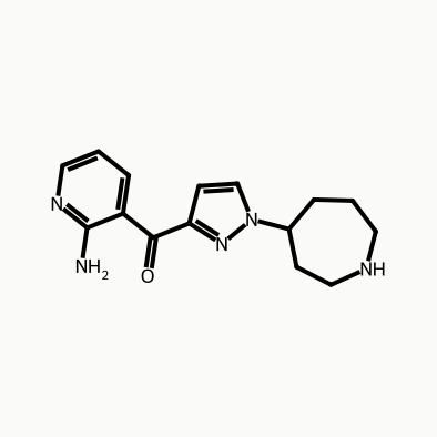 Nc1ncccc1C(=O)c1ccn(C2CCCNCC2)n1